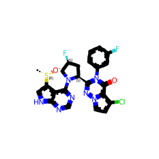 C[S@+]([O-])c1c[nH]c2ncnc(N3C[C@@H](F)C[C@H]3c3nn4ccc(Cl)c4c(=O)n3-c3cccc(F)c3)c12